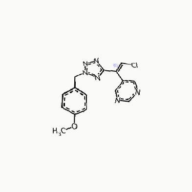 COc1ccc(Cn2nnc(/C(=C/Cl)c3cncnc3)n2)cc1